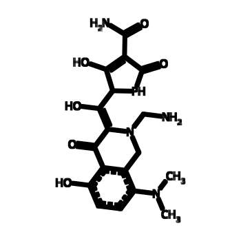 CN(C)c1ccc(O)c2c1CN(CN)/C(=C(/O)C1PC(=O)C(C(N)=O)=C1O)C2=O